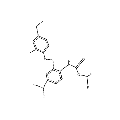 CCc1ccc(OCc2cc(C(C)C)ccc2NC(=O)OC(F)F)c(C)c1